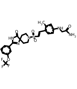 Cc1cc(NCC(N)=O)ccc1/C=C/S(=O)(=O)N1CCC2(CC1)N=C(c1cccc(OC(F)(F)F)c1)NC2=O